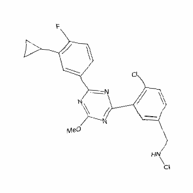 COc1nc(-c2ccc(F)c(C3CC3)c2)nc(-c2cc(CNCl)ccc2Cl)n1